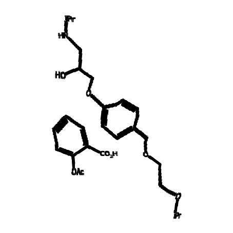 CC(=O)Oc1ccccc1C(=O)O.CC(C)NCC(O)COc1ccc(COCCOC(C)C)cc1